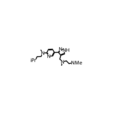 CNCCN(C)Cc1c[nH]nc1-c1ccc(N(C)CCC(C)C)nc1